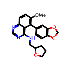 COc1ccc2ncnc(NCC3CCCO3)c2c1-c1ccc2c(c1)OCO2